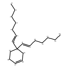 CCCCCC=CC1(C=CCCCCC)CC=CCC1